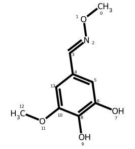 CO/N=C/c1cc(O)c(O)c(OC)c1